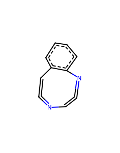 C1=Cc2ccccc2N=C=CN=1